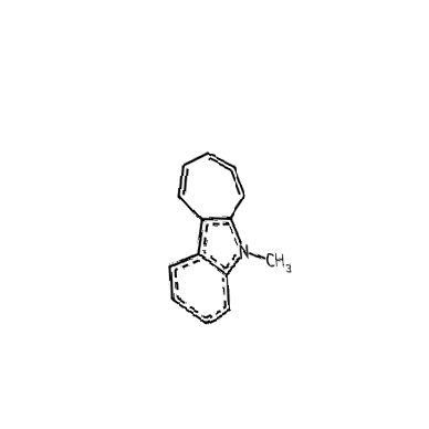 Cn1c2c(c3ccccc31)C=CC=C=C2